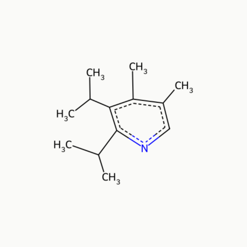 Cc1cnc(C(C)C)c(C(C)C)c1C